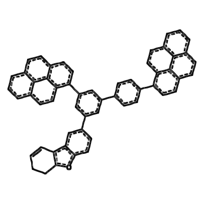 C1=Cc2c(oc3ccc(-c4cc(-c5ccc(-c6ccc7ccc8cccc9ccc6c7c89)cc5)cc(-c5ccc6ccc7cccc8ccc5c6c78)c4)cc23)CC1